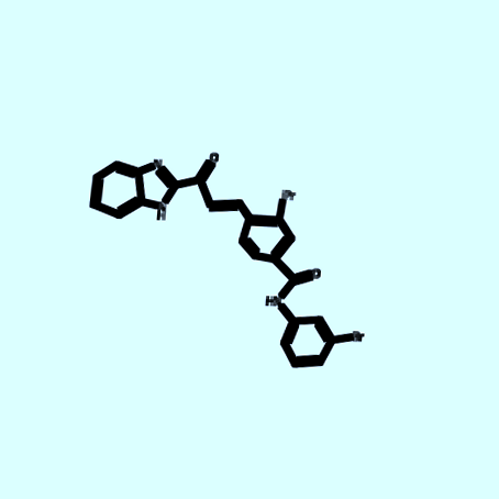 CC(C)c1cc(C(=O)Nc2cccc(Br)c2)ccc1C=CC(=O)c1nc2ccccc2[nH]1